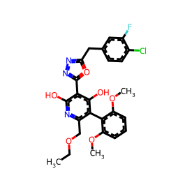 CCOCc1nc(O)c(-c2nnc(Cc3ccc(Cl)c(F)c3)o2)c(O)c1-c1c(OC)cccc1OC